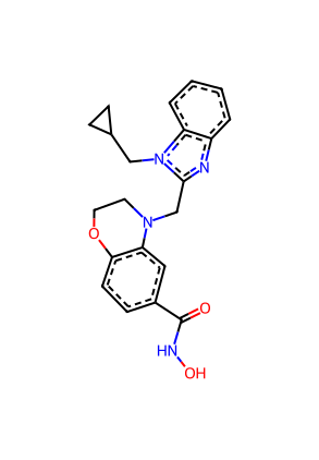 O=C(NO)c1ccc2c(c1)N(Cc1nc3ccccc3n1CC1CC1)CCO2